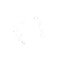 CN[C@@H](C)C(=O)N[C@H](C(=O)N1CCC[C@H]1c1nc(C(=O)c2cccc(OCCCCNC(=O)CN3CCN(C(=O)c4ccc(Nc5nc(C6CC6)cn6c(-c7cn[nH]c7)cnc56)c(F)c4)CC3)c2)cs1)C1CCCCC1